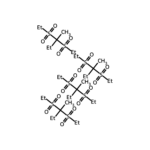 CCC(C)(S(=O)(=O)CC)S(=O)(=O)CC.CCC(C)(S(=O)(=O)CC)S(=O)(=O)CC.CCC(C)(S(=O)(=O)CC)S(=O)(=O)CC.CCC(C)(S(=O)(=O)CC)S(=O)(=O)CC